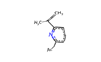 C=C(C)c1cccc(C(C)=O)n1